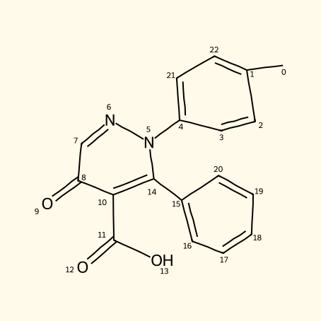 Cc1ccc(-n2ncc(=O)c(C(=O)O)c2-c2ccccc2)cc1